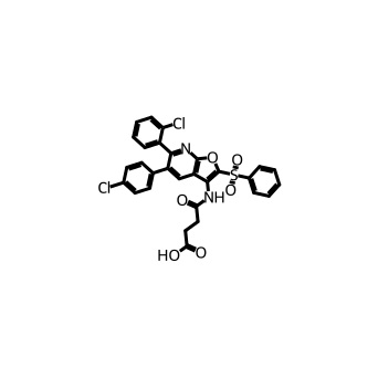 O=C(O)CCC(=O)Nc1c(S(=O)(=O)c2ccccc2)oc2nc(-c3ccccc3Cl)c(-c3ccc(Cl)cc3)cc12